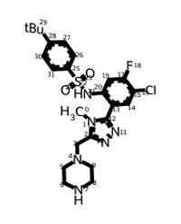 Cn1c(CN2CCNCC2)nnc1-c1cc(Cl)c(F)cc1NS(=O)(=O)c1ccc(C(C)(C)C)cc1